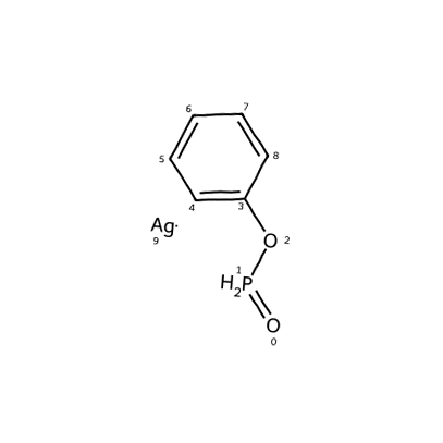 O=[PH2]Oc1ccccc1.[Ag]